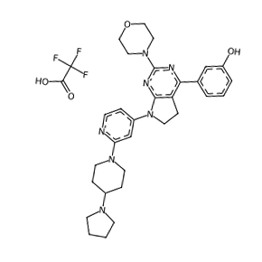 O=C(O)C(F)(F)F.Oc1cccc(-c2nc(N3CCOCC3)nc3c2CCN3c2ccnc(N3CCC(N4CCCC4)CC3)c2)c1